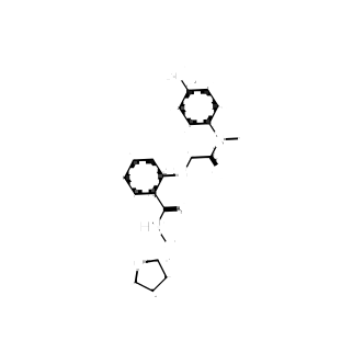 CN(C(=O)COc1ccccc1C(=O)NC[C@@H]1CCCO1)c1ccc(Br)cc1